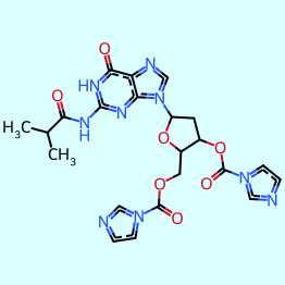 CC(C)C(=O)Nc1nc2c(ncn2C2CC(OC(=O)n3ccnc3)C(COC(=O)n3ccnc3)O2)c(=O)[nH]1